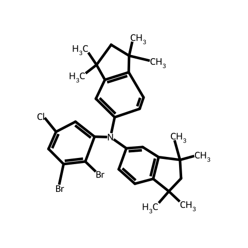 CC1(C)CC(C)(C)c2cc(N(c3ccc4c(c3)C(C)(C)CC4(C)C)c3cc(Cl)cc(Br)c3Br)ccc21